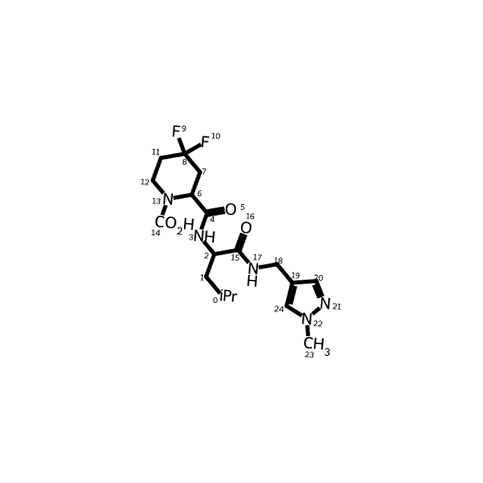 CC(C)CC(NC(=O)C1CC(F)(F)CCN1C(=O)O)C(=O)NCc1cnn(C)c1